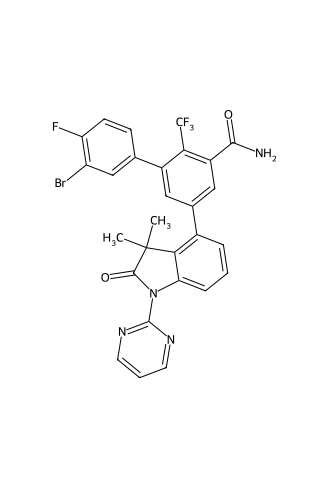 CC1(C)C(=O)N(c2ncccn2)c2cccc(-c3cc(C(N)=O)c(C(F)(F)F)c(-c4ccc(F)c(Br)c4)c3)c21